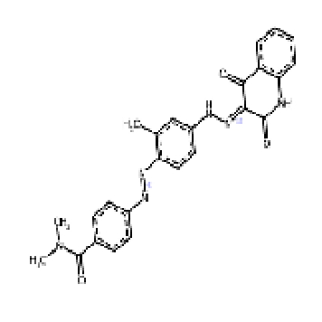 Cc1cc(N/N=C2/C(=O)Nc3ccccc3C2=O)ccc1/N=N/c1ccc(C(=O)N(C)C)cc1